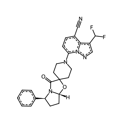 N#Cc1ccc(N2CCC3(CC2)O[C@@H]2CC[C@@H](c4ccccc4)N2C3=O)n2ncc(C(F)F)c12